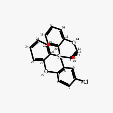 Clc1ccc2c(c1)[Si]1(c3ccccc3Oc3ccccc31)c1ccccc1O2